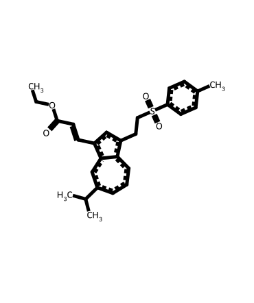 CCOC(=O)C=Cc1cc(CCS(=O)(=O)c2ccc(C)cc2)c2cccc(C(C)C)cc1-2